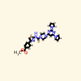 COC(=O)c1ccc(-c2csc(NC(=S)N3CCN(c4cc(N5CCCC5)nc(N5CCCC5)n4)CC3)n2)cc1